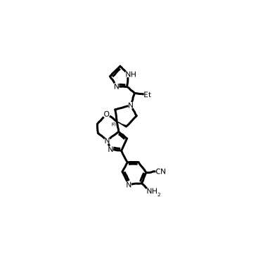 CCC(c1ncc[nH]1)N1CC[C@]2(C1)OCCn1nc(-c3cnc(N)c(C#N)c3)cc12